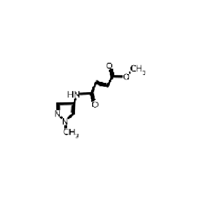 COC(=O)/C=C/C(=O)Nc1cnn(C)c1